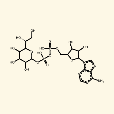 Nc1ncnc2c1ncn2C1OC(COP(O)(=S)OP(=O)(O)OC2OC([C@H](O)CO)C(O)C(O)C2O)C(O)C1O